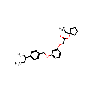 CCC(C)c1ccc(COc2cccc(OCC(=O)OC3(CC)CCCC3)c2)cc1